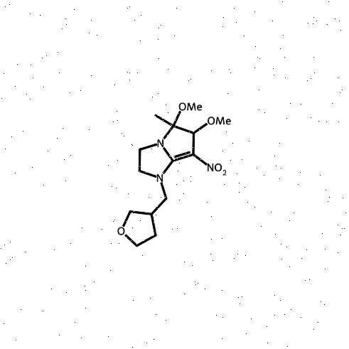 COC1C([N+](=O)[O-])=C2N(CC3CCOC3)CCN2C1(C)OC